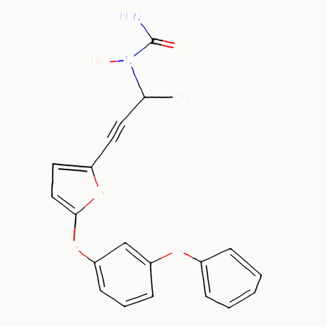 CC(C#Cc1ccc(Oc2cccc(Oc3ccccc3)c2)o1)N(O)C(N)=O